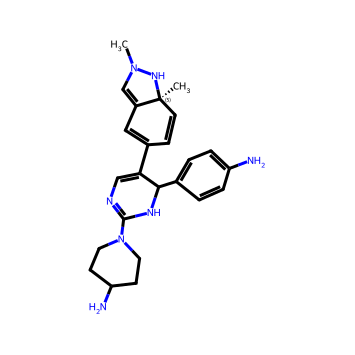 CN1C=C2C=C(C3=CN=C(N4CCC(N)CC4)NC3c3ccc(N)cc3)C=C[C@]2(C)N1